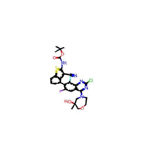 CC1(O)COCCN(c2nc(Cl)nc3c(F)c(-c4cccc5sc(NC(=O)OC(C)(C)C)c(C#N)c45)c(I)cc23)C1